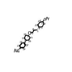 CCC[C@H]1CC[C@H](CCCO[C@H]2CC[C@H](c3ccc(C#N)cc3)CC2)CC1